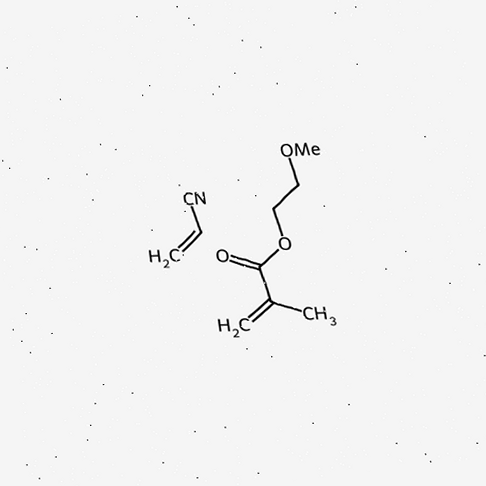 C=C(C)C(=O)OCCOC.C=CC#N